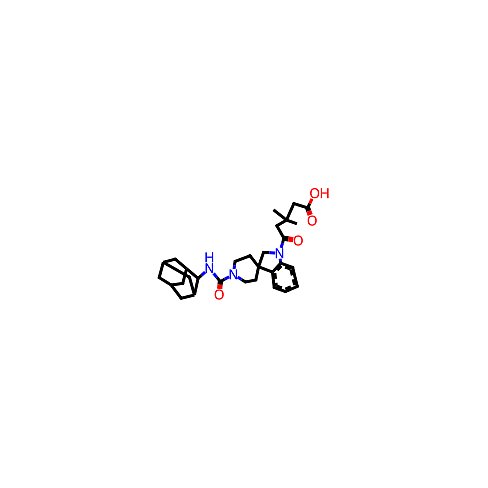 CC(C)(CC(=O)O)CC(=O)N1CC2(CCN(C(=O)NC3C4CC5CC(C4)CC3C5)CC2)c2ccccc21